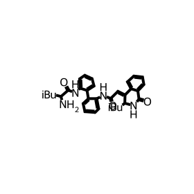 CCC(C)C(N)C(=O)Nc1ccccc1-c1ccccc1NC(=O)C=C1c2ccccc2C(=O)NC1C(C)CC